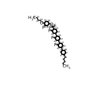 CCCCCc1ccc(-c2ccc(-c3ccc(-c4ccc(C(F)(F)Oc5ccc(OCCCC)c(F)c5)c(F)c4)c(F)c3)c(F)c2)cc1